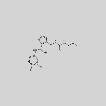 CCCNC(=O)NCc1nonc1C(=N)Nc1ccc(F)c(Cl)c1